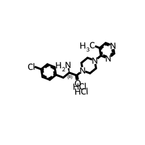 Cc1cncnc1N1CCN(C(=O)[C@H](N)Cc2ccc(Cl)cc2)CC1.Cl.Cl